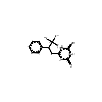 O=c1nc(CC(c2ccccc2)C(F)(F)F)[nH]c(=O)[nH]1